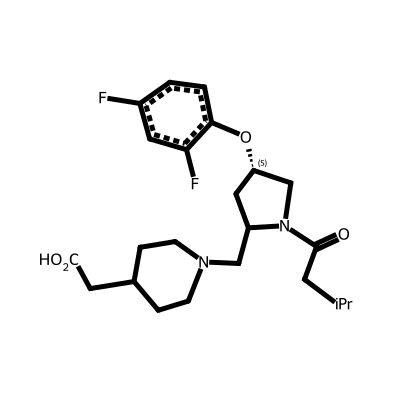 CC(C)CC(=O)N1C[C@@H](Oc2ccc(F)cc2F)CC1CN1CCC(CC(=O)O)CC1